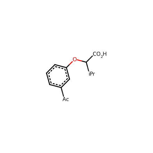 CC(=O)c1cccc(OC(C(=O)O)C(C)C)c1